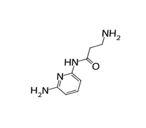 NCCC(=O)Nc1cccc(N)n1